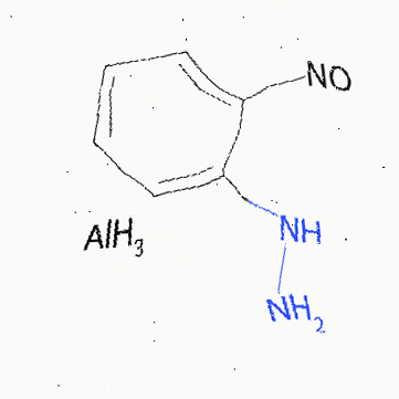 NNc1ccccc1N=O.[AlH3]